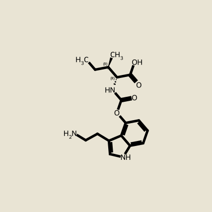 CC[C@@H](C)[C@@H](NC(=O)Oc1cccc2[nH]cc(CCN)c12)C(=O)O